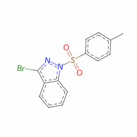 Cc1ccc(S(=O)(=O)n2nc(Br)c3ccccc32)cc1